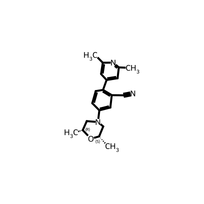 Cc1cc(-c2ccc(N3C[C@@H](C)O[C@@H](C)C3)cc2C#N)cc(C)n1